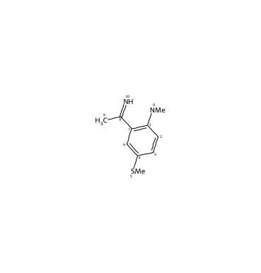 CNc1ccc(SC)cc1C(C)=N